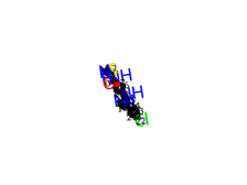 O=C(Nc1nncs1)c1ccc(Nc2nccc(-c3ccc(Cl)cc3)n2)cc1